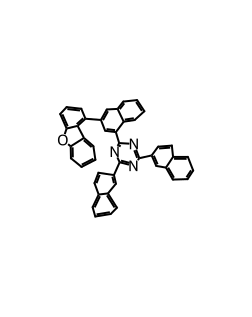 c1ccc2cc(-c3nc(-c4ccc5ccccc5c4)nc(-c4cc(-c5cccc6oc7ccccc7c56)cc5ccccc45)n3)ccc2c1